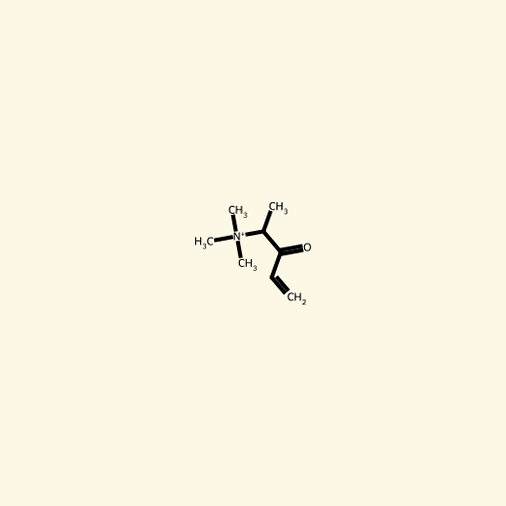 C=CC(=O)C(C)[N+](C)(C)C